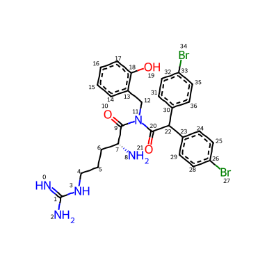 N=C(N)NCCC[C@@H](N)C(=O)N(Cc1ccccc1O)C(=O)C(c1ccc(Br)cc1)c1ccc(Br)cc1